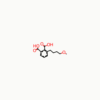 COCCCCc1cccc(C(=O)O)c1C(=O)O